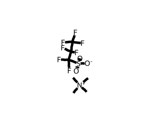 C[N+](C)(C)C.O=S(=O)([O-])C(F)(F)C(F)(F)C(F)(F)F